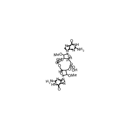 COC1C2OP(=O)(O)OC[C@H]3O[C@@H](n4cnc5c(=O)[nH]c(N)nc54)C(OC)C3OP(=O)(O)OC[C@H]2O[C@H]1n1cnc2c(=O)[nH]c(N)nc21